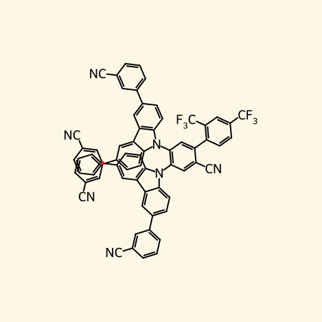 N#Cc1cccc(-c2ccc3c(c2)c2cc(-c4cccc(C#N)c4)ccc2n3-c2cc(C#N)c(-c3ccc(C(F)(F)F)cc3C(F)(F)F)cc2-n2c3ccc(-c4cccc(C#N)c4)cc3c3cc(-c4cccc(C#N)c4)ccc32)c1